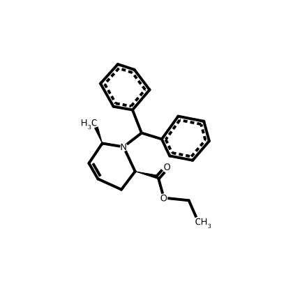 CCOC(=O)[C@H]1CC=C[C@@H](C)N1C(c1ccccc1)c1ccccc1